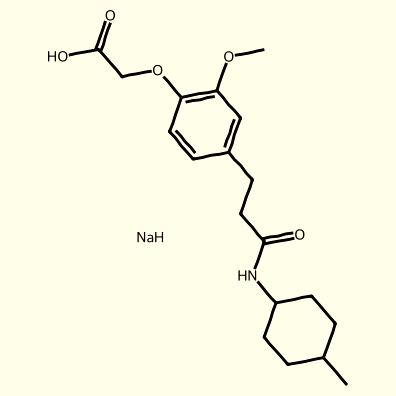 COc1cc(CCC(=O)NC2CCC(C)CC2)ccc1OCC(=O)O.[NaH]